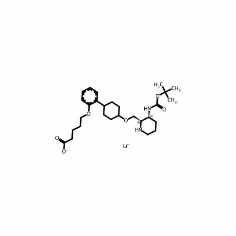 CC(C)(C)OC(=O)N[C@H]1CCCN[C@H]1COC1CCC(c2ccccc2OCCCCC(=O)[O-])CC1.[Li+]